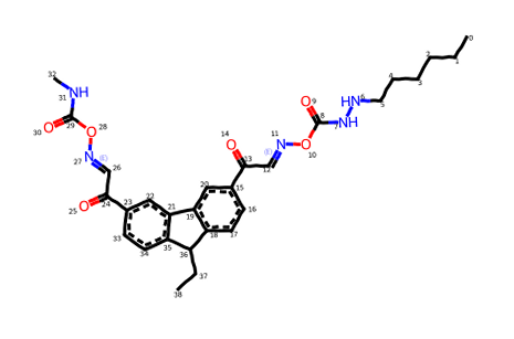 CCCCCCNNC(=O)O/N=C/C(=O)c1ccc2c(c1)-c1cc(C(=O)/C=N/OC(=O)NC)ccc1C2CC